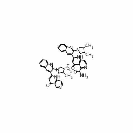 CC1CN(c2nc3ccccc3cc2-c2cc(=O)c3c(C(N)=O)nccc3[nH]2)CC1C.C[C@H]1CN(c2nc3ccccc3cc2-c2cc(=O)c3cnccc3[nH]2)C[C@@H]1C